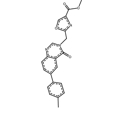 COC(=O)c1coc(Cn2cnc3ccc(-c4ccc(C)cc4)cc3c2=O)n1